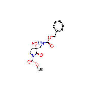 CC(C)(C)OC(=O)N1CCC(O)(CNC(=O)OCc2ccccc2)C1=O